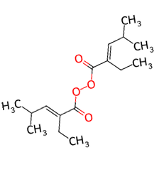 CC/C(=C\C(C)C)C(=O)OOC(=O)/C(=C/C(C)C)CC